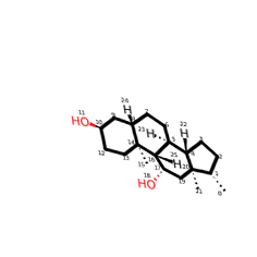 C[C@H]1CC[C@H]2[C@@H]3CC[C@H]4C[C@H](O)CC[C@]4(C)[C@H]3[C@@H](O)C[C@]12C